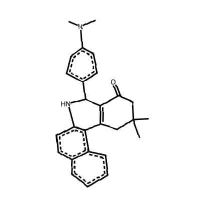 CN(C)c1ccc(C2Nc3ccc4ccccc4c3C3=C2C(=O)CC(C)(C)C3)cc1